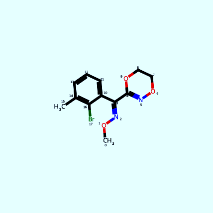 CON=C(C1=NOCCO1)c1cccc(C)c1Br